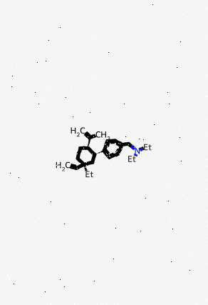 C=C[C@]1(CC)CC[C@@H](C(=C)C)[C@H](c2ccc(CN(CC)CC)cc2)C1